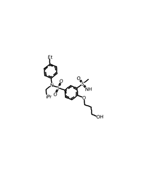 CCc1ccc(N(CC(C)C)S(=O)(=O)c2ccc(OCCCO)c(S(C)(=N)=O)c2)cc1